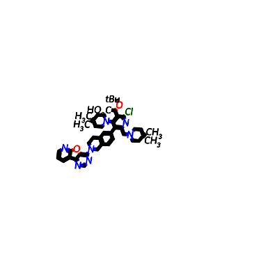 CC1(C)CCN(Cc2nc(Cl)c(C(OC(C)(C)C)C(=O)O)c(N3CCC(C)(C)CC3)c2-c2ccc3c(c2)CCN(c2ncnc4c2oc2ncccc24)C3)CC1